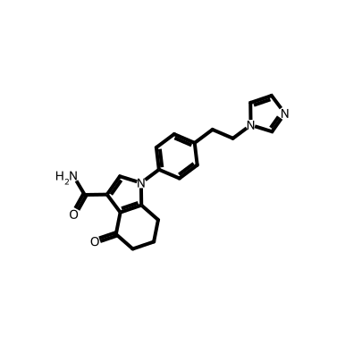 NC(=O)c1cn(-c2ccc(CCn3ccnc3)cc2)c2c1C(=O)CCC2